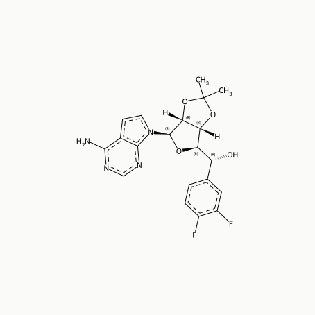 CC1(C)O[C@H]2[C@@H](O1)[C@H](n1ccc3c(N)ncnc31)O[C@@H]2[C@H](O)c1ccc(F)c(F)c1